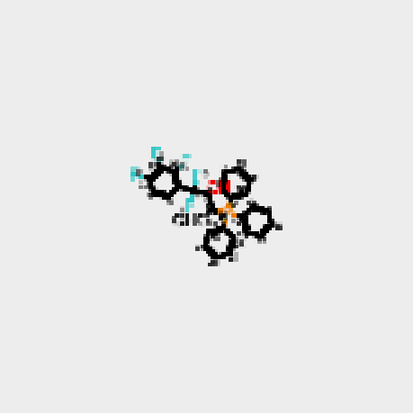 O=CC(C(O)C(F)(F)c1ccc(F)c(F)c1F)=P(c1ccccc1)(c1ccccc1)c1ccccc1